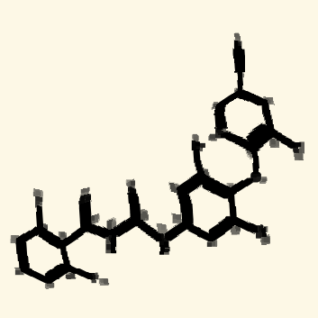 N#Cc1cnc(Oc2c(Br)cc(NC(=S)NC(=O)c3c(F)cccc3F)cc2Br)c(Cl)c1